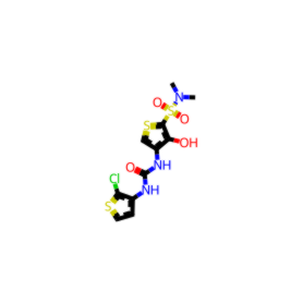 CN(C)S(=O)(=O)c1scc(NC(=O)Nc2ccsc2Cl)c1O